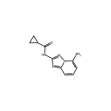 Bc1cccc2nc(NC(=O)C3CC3)nn12